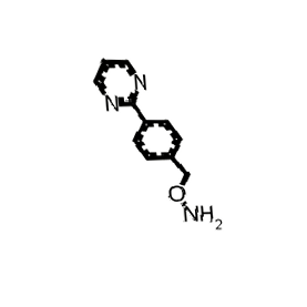 NOCc1ccc(-c2ncccn2)cc1